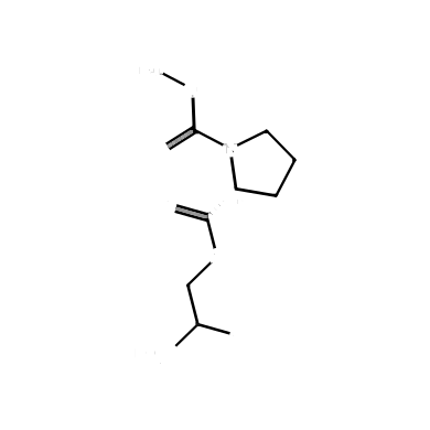 CC(CSC(=O)[C@H]1CCCN1C(=O)OC(C)(C)C)C(=O)O